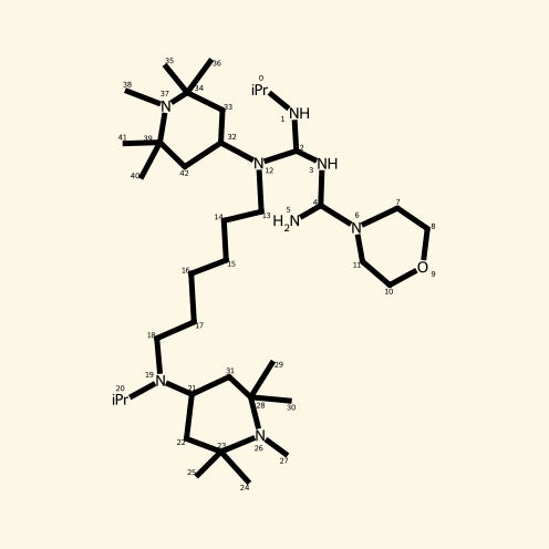 CC(C)NC(NC(N)N1CCOCC1)N(CCCCCCN(C(C)C)C1CC(C)(C)N(C)C(C)(C)C1)C1CC(C)(C)N(C)C(C)(C)C1